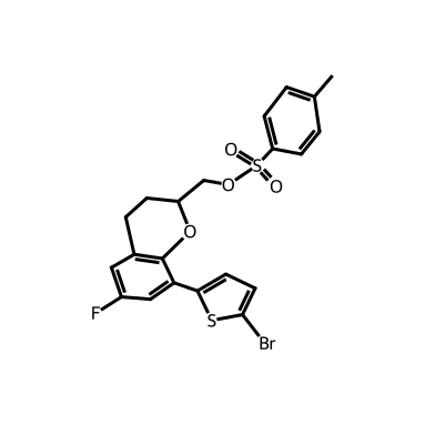 Cc1ccc(S(=O)(=O)OCC2CCc3cc(F)cc(-c4ccc(Br)s4)c3O2)cc1